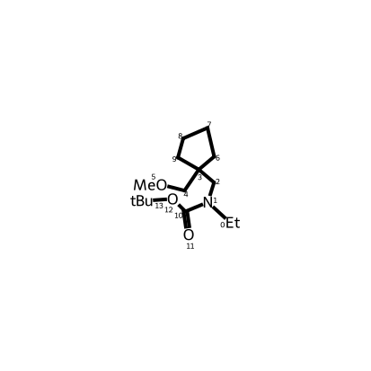 CCN(CC1(COC)CCCC1)C(=O)OC(C)(C)C